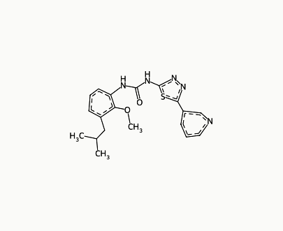 COc1c(CC(C)C)cccc1NC(=O)Nc1nnc(-c2cccnc2)s1